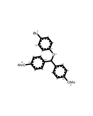 CCC(C)c1ccc(OC(c2ccc(OC)cc2)c2ccc(OC)cc2)cc1